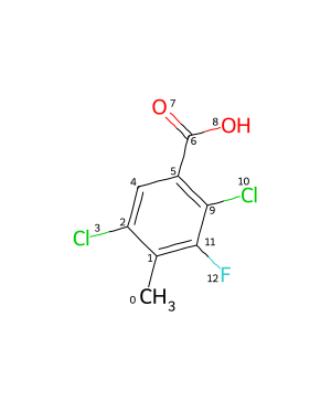 Cc1c(Cl)cc(C(=O)O)c(Cl)c1F